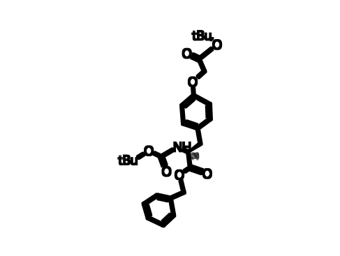 CC(C)(C)OC(=O)COc1ccc(C[C@H](NC(=O)OC(C)(C)C)C(=O)OCc2ccccc2)cc1